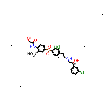 Cl.O=C(CO)Nc1ccc(S(=O)(=O)c2ccc(CCNC[C@@H](O)c3cccc(Cl)c3)cc2)cc1C(=O)O